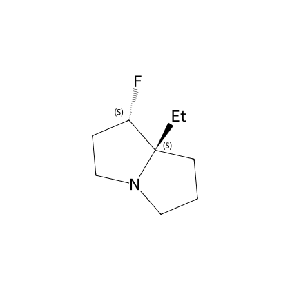 CC[C@@]12CCCN1CC[C@@H]2F